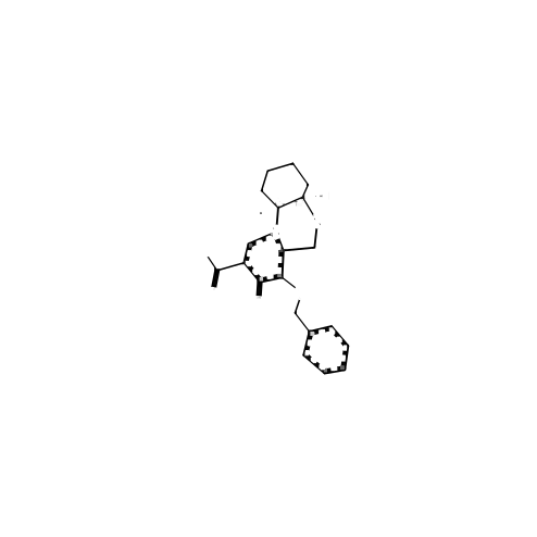 O=C(O)c1cn2c(c(OCc3ccccc3)c1=O)CN[C@@H]1CCCC[C@@H]12